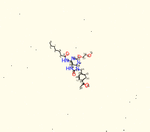 CCCCCCC(=O)Nc1nc(OCCOC)nc2c1[nH]c(=O)n2Cc1ccc(C(C)=O)cc1